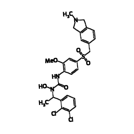 COc1cc(S(=O)(=O)Cc2ccc3c(c2)CN(C)C3)ccc1NC(=O)N(O)C(C)c1cccc(Cl)c1Cl